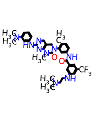 Cc1ccc(NC(=O)c2cc(NCCN(C)C)cc(C(F)(F)F)c2)cc1N1Cc2cnc(Nc3cccc(N(C)C)c3)nc2N(C)C1=O